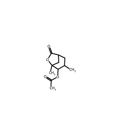 CC(=O)OC1C(C)CC2CC1(C)OC2=O